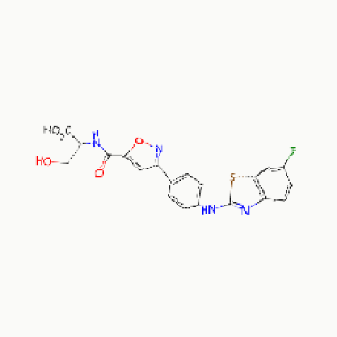 O=C(NC(CO)C(=O)O)c1cc(-c2ccc(Nc3nc4ccc(F)cc4s3)cc2)no1